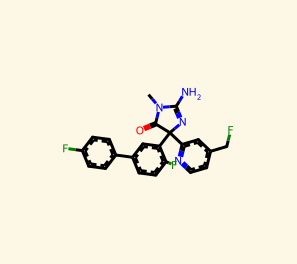 CN1C(=O)C(c2cc(CF)ccn2)(c2cc(-c3ccc(F)cc3)ccc2F)N=C1N